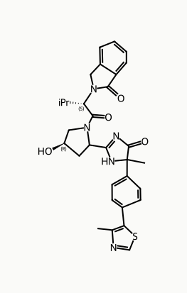 Cc1ncsc1-c1ccc(C2(C)NC(C3C[C@@H](O)CN3C(=O)[C@H](C(C)C)N3Cc4ccccc4C3=O)=NC2=O)cc1